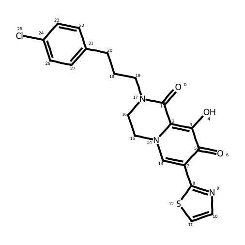 O=C1c2c(O)c(=O)c(-c3nccs3)cn2CCN1CCCc1ccc(Cl)cc1